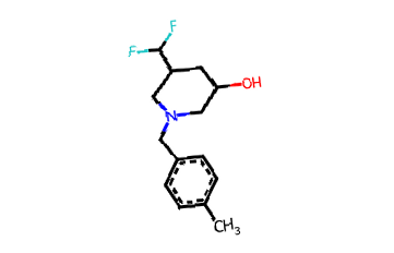 Cc1ccc(CN2CC(O)CC(C(F)F)C2)cc1